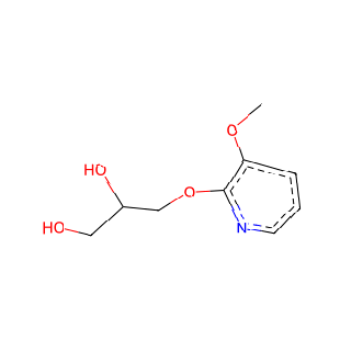 COc1cccnc1OCC(O)CO